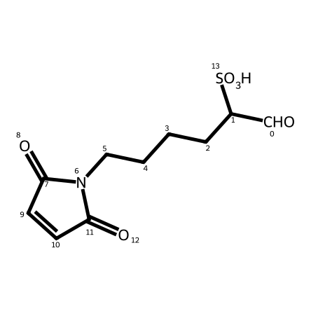 O=CC(CCCCN1C(=O)C=CC1=O)S(=O)(=O)O